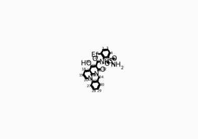 CCc1cccc(S(N)(=O)=O)c1NC(=O)c1c(O)c2cccnc2n(Cc2ccccc2)c1=O